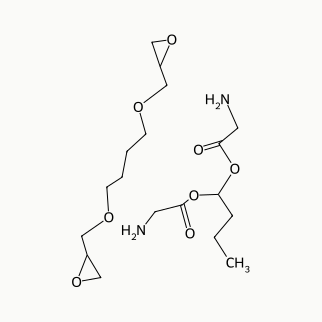 C(CCOCC1CO1)COCC1CO1.CCCC(OC(=O)CN)OC(=O)CN